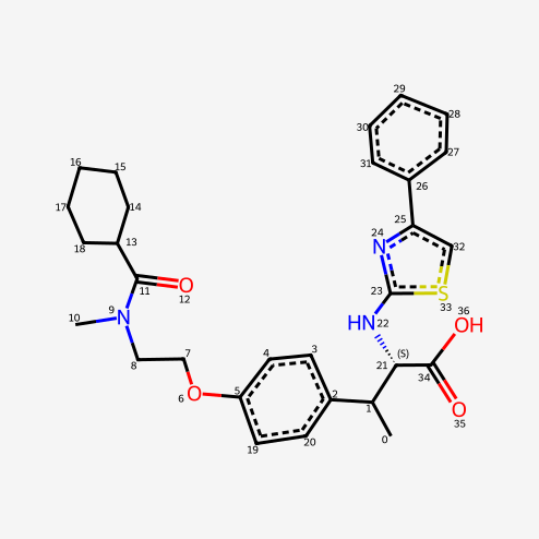 CC(c1ccc(OCCN(C)C(=O)C2CCCCC2)cc1)[C@H](Nc1nc(-c2ccccc2)cs1)C(=O)O